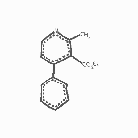 CCOC(=O)c1c(-c2ccccc2)ccnc1C